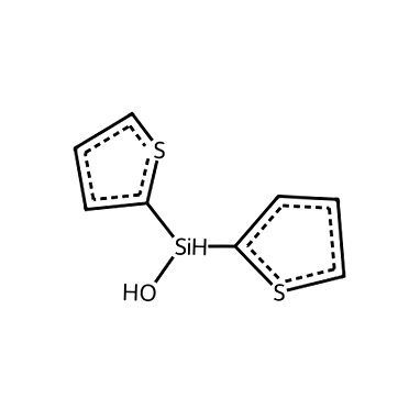 O[SiH](c1cccs1)c1cccs1